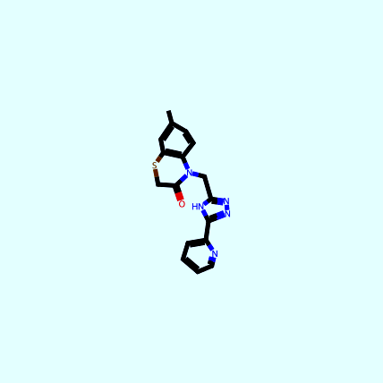 Cc1ccc2c(c1)SCC(=O)N2Cc1nnc(-c2ccccn2)[nH]1